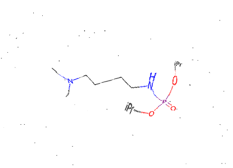 CC(C)OP(=O)(NCCCCN(C)C)OC(C)C